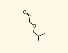 CC(C)COCC=O